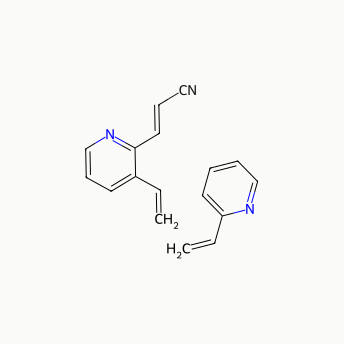 C=Cc1ccccn1.C=Cc1cccnc1C=CC#N